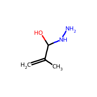 C=C(C)C(O)NN